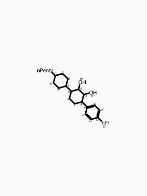 CCCCCC1CCC(C2CCC(c3ccc(CCC)cc3)C(O)C2O)CC1